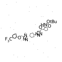 Cn1c(COc2cccc(C(F)(F)F)c2)nnc1[C@H]1CC[C@H](n2cc(C3OCC4(NC(=O)OC(C)(C)C)CCCC34)nn2)CC1